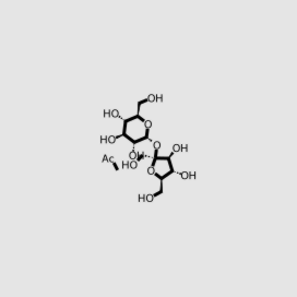 CC(C)=O.OC[C@H]1O[C@@](CO)(O[C@H]2O[C@H](CO)[C@@H](O)[C@H](O)[C@H]2O)[C@@H](O)[C@@H]1O